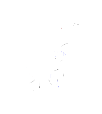 COC(=O)C1CC=C(c2ncc(-c3cn4c(Cc5ccccc5OC(F)F)c(C)nc4cc3C)cn2)CC1